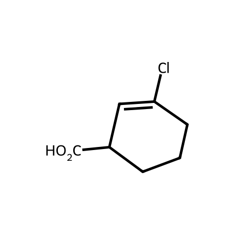 O=C(O)C1C=C(Cl)CCC1